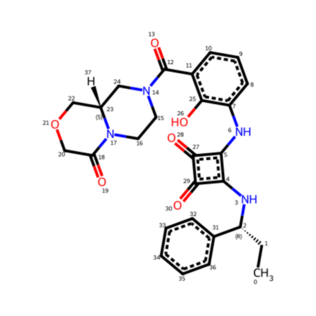 CC[C@@H](Nc1c(Nc2cccc(C(=O)N3CCN4C(=O)COC[C@@H]4C3)c2O)c(=O)c1=O)c1ccccc1